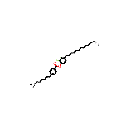 CCCCCCCCCCCCc1ccc(OC(=O)c2ccc(CCCCCCC)cc2)c(F)c1F